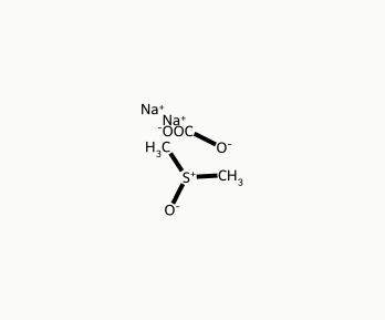 C[S+](C)[O-].O=C([O-])[O-].[Na+].[Na+]